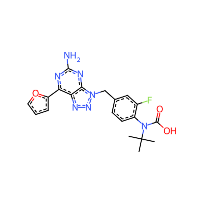 CC(C)(C)N(C(=O)O)c1ccc(Cn2nnc3c(-c4ccco4)nc(N)nc32)cc1F